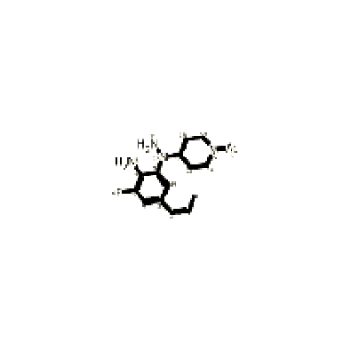 C/C=C\c1cc(F)c(N)c(N(N)C2CCN(C(C)=O)CC2)c1